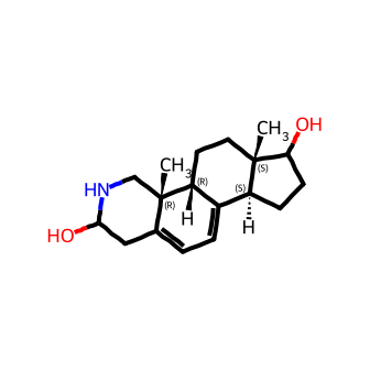 C[C@]12CNC(O)CC1=CC=C1[C@H]2CC[C@]2(C)C(O)CC[C@@H]12